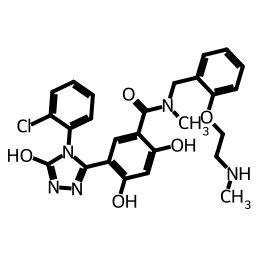 CNCCOc1ccccc1CN(C)C(=O)c1cc(-c2nnc(O)n2-c2ccccc2Cl)c(O)cc1O